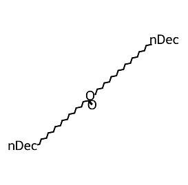 CCCCCCCCCCCCCCCCCCCCCCCCCCCOC(=O)CCCCCCCCCCCCCCCCCCCCCCCC